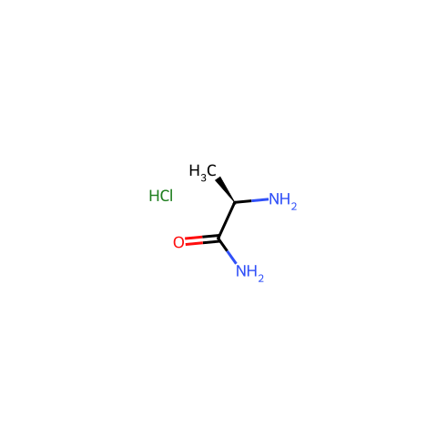 C[C@@H](N)C(N)=O.Cl